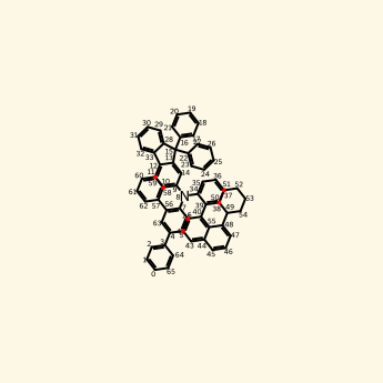 c1ccc(-c2ccc(N(c3ccc4c(c3)C(c3ccccc3)(c3ccccc3)c3ccccc3-4)c3ccccc3-c3cccc4cccc(C5CCCCC5)c34)c(-c3ccccc3)c2)cc1